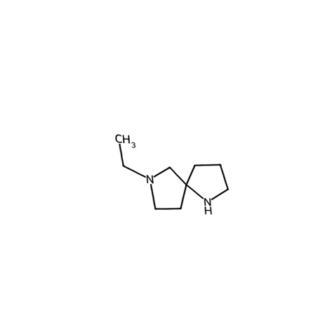 CCN1CCC2(CCCN2)C1